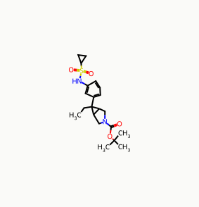 CCC1(c2cccc(NS(=O)(=O)C3CC3)c2)C2CN(C(=O)OC(C)(C)C)CC21